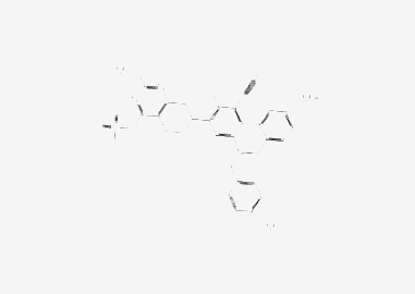 CC#Cc1cc(N(Cc2ccc(OC)cc2)Cc2ccc(OC)cc2)c(F)c(C2Cc3nc(SC)nc(OS(=O)(=O)C(F)(F)F)c3CO2)c1C(F)(F)F